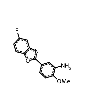 COc1ccc(-c2nc3cc(F)ccc3o2)cc1N